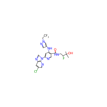 CC(C)(O)C(F)CNC(=O)c1cnc(-n2cnc3cc(Cl)cnc32)cc1Nc1cnn(CC(F)(F)F)c1